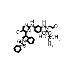 CC(C)(C)OC(=O)N(CC=O)Nc1cccc(Nc2ncc(Cl)c(-c3cn(S(=O)(=O)c4ccccc4)c4ccccc34)n2)c1